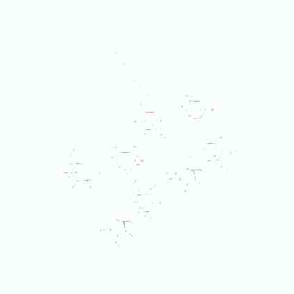 O.O.O.O.O.O.O.O.OC[C@H]1O[C@H](OC[C@H]2O[C@H](OC[C@H]3O[C@H](O[C@]4(CO)O[C@H](CO)[C@@H](O)[C@@H]4O)[C@H](O)[C@@H](O)[C@@H]3O)[C@H](O)[C@@H](O)[C@H]2O)[C@H](O)[C@@H](O)[C@H]1O.OC[C@H]1O[C@H](OC[C@H]2O[C@H](OC[C@H]3O[C@H](O[C@]4(CO)O[C@H](CO)[C@@H](O)[C@@H]4O)[C@H](O)[C@@H](O)[C@@H]3O)[C@H](O)[C@@H](O)[C@H]2O)[C@H](O)[C@@H](O)[C@H]1O